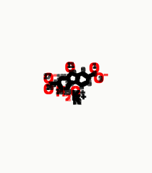 O.O=C([O-])c1ccc2c(c1)C(=O)c1cc(C(=O)[O-])ccc1-2.[K+].[K+]